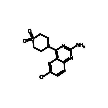 Nc1nc(N2CCS(=O)(=O)CC2)c2nc(Cl)ccc2n1